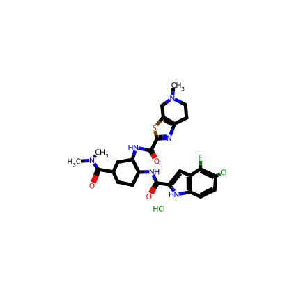 CN1CCc2nc(C(=O)NC3CC(C(=O)N(C)C)CCC3NC(=O)c3cc4c(F)c(Cl)ccc4[nH]3)sc2C1.Cl